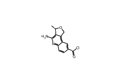 CC1OCc2c1c(N)nc1ccc(C(=O)Cl)cc21